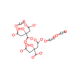 O=C([O-])CC(O)(CC(=O)[O-])C(=O)[O-].O=C([O-])CC(O)(CC(=O)[O-])C(=O)[O-].[O]=[U+2]=[O].[O]=[U+2]=[O].[O]=[U+2]=[O]